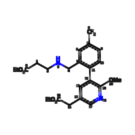 CCOC(=O)CCNCc1cc(C(F)(F)F)ccc1-c1cc(CC(=O)OCC)cnc1OC